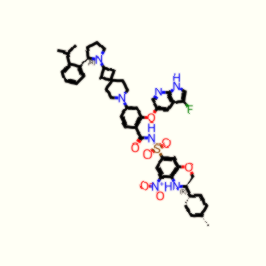 CC(C)c1ccccc1[C@H]1CCCN1C1CC2(CCN(c3ccc(C(=O)NS(=O)(=O)c4cc5c(c([N+](=O)[O-])c4)N[C@H]([C@H]4CC[C@@H](C)CC4)CO5)c(Oc4cnc5[nH]cc(F)c5c4)c3)CC2)C1